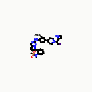 COc1cc(C2CCN(C(CI)C3CCN3)CC2)ccc1Nc1ncc2ccc(-c3ccccc3N(C)S(C)(=O)=O)n2n1